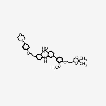 COc1cc(-c2ccc3c(c2)Nc2ccc(CCOc4ccc(N5CCOCC5)cc4)cc2NC3=O)ccc1OCCC1COC(C)(C)O1